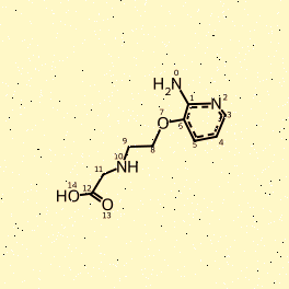 Nc1ncccc1OCCNCC(=O)O